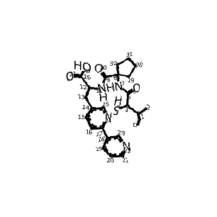 CC(C)C(S)C(=O)NC1(C(=O)NC(Cc2ccc(-c3cccnc3)nc2)C(=O)O)CCCC1